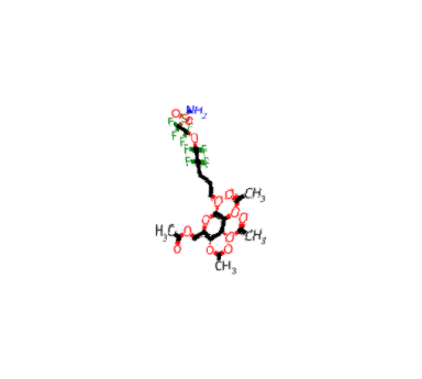 CC(=O)OCC1O[C@@H](OCCCC(F)(F)C(F)(F)OC(F)(F)C(F)(F)S(N)(=O)=O)C(OC(C)=O)[C@@H](OC(C)=O)[C@@H]1OC(C)=O